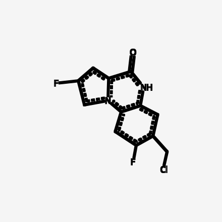 O=c1[nH]c2cc(CCl)c(F)cc2n2cc(F)cc12